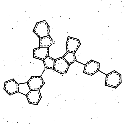 c1ccc(-c2ccc(-n3c4ccccc4c4c5c6c7oc8ccccc8c7ccc6n(-c6cc7c8c(cccc8c6)-c6ccccc6-7)c5ccc43)cc2)cc1